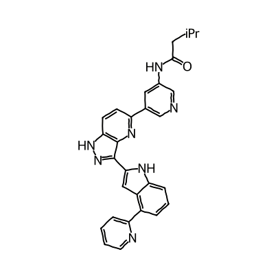 CC(C)CC(=O)Nc1cncc(-c2ccc3[nH]nc(-c4cc5c(-c6ccccn6)cccc5[nH]4)c3n2)c1